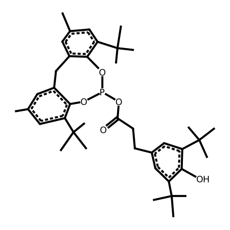 Cc1cc2c(c(C(C)(C)C)c1)OP(OC(=O)CCc1cc(C(C)(C)C)c(O)c(C(C)(C)C)c1)Oc1c(cc(C)cc1C(C)(C)C)C2